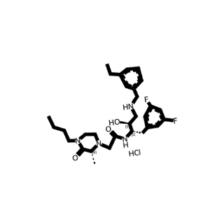 CCCCN1CCN(CC(=O)N[C@@H](Cc2cc(F)cc(F)c2)[C@@H](O)CNCc2cccc(CC)c2)[C@H](C)C1=O.Cl